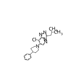 CC(C)Cc1nnc2c(Cl)c(N3CCC(c4ccccc4)CC3)cnn12